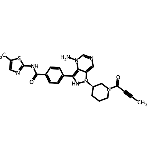 CC#CC(=O)N1CCC[C@@H](N2NC(c3ccc(C(=O)Nc4ncc(C)s4)cc3)=C3C2=CN=CN3N)C1